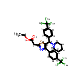 CCOC(=O)Cc1nc(-c2ccc(C(F)(F)F)cc2)c(C(c2ccc(C(F)(F)F)cc2)N2CCCCC2)s1